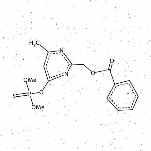 COP(=S)(OC)Oc1cc(C)nc(COC(=O)c2ccccc2)n1